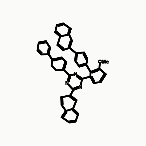 COc1cccc(-c2nc(C3=CC=C(c4ccccc4)CC3)nc(-c3ccc4ccccc4c3)n2)c1-c1ccc(-c2ccc3ccccc3c2)cc1